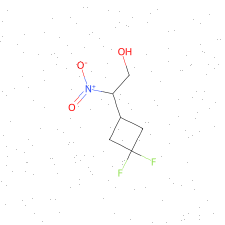 O=[N+]([O-])C(CO)C1CC(F)(F)C1